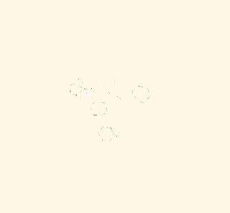 Cc1cc(C(NC(=O)c2cc(Cn3ccn(C)/c3=N\C(=O)O)cc(-c3cccnc3C(F)(F)F)c2F)C2CC2)ccc1F